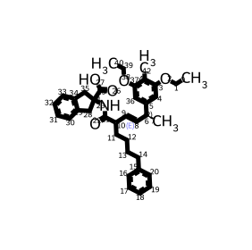 CCOc1cc([C@H](C)/C=C/C(CCCCc2ccccc2)C(=O)NC2(C(=O)O)Cc3ccccc3C2)cc(OCC)c1C